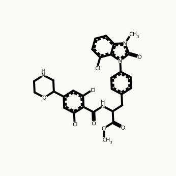 COC(=O)C(Cc1ccc(-n2c(=O)n(C)c3cccc(Cl)c32)cc1)NC(=O)c1c(Cl)cc(C2CNCCO2)cc1Cl